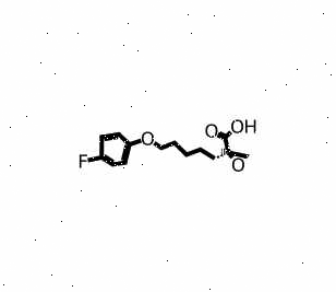 O=C(O)[C@@]1(CCCCCOc2ccc(F)cc2)CO1